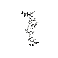 CO/N=C(\C(=O)N[C@@H]1C(=O)N2C(C(=O)[O-])=C(C[n+]3cccc4c3ccn4Cc3ccc(C(=N)N)cc3)CS[C@H]12)c1csc(N)n1